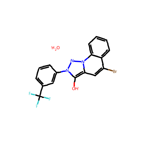 O.OC1=C2C=C(Br)c3ccccc3N2[N]N1c1cccc(C(F)(F)F)c1